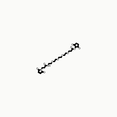 O=C(CCN1C(=O)C=CC1=O)NCCOCCOCCOCCOCCC(=O)OC1C(=O)CCC1=O